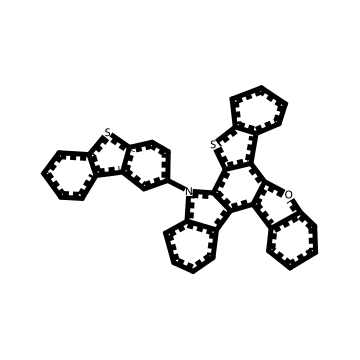 c1ccc2c(c1)oc1c3c4ccccc4sc3c3c(c4ccccc4n3-c3ccc4sc5ccccc5c4c3)c21